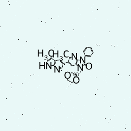 Cc1nc2c(cc1-c1cnc3[nH]cc(C)c3c1)n(C[C@H]1COCCO1)c(=O)n2-c1ccccc1